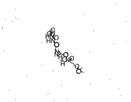 Cc1cccc(OCCCC(=O)N2C[C@H]3C[C@H]3c3c(-c4cnn(Cc5cccc(NC(=O)NOS(C)(=O)=O)c5)c4)cccc32)c1C